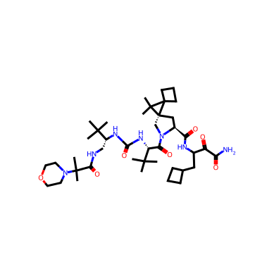 CC(C)(C)[C@H](NC(=O)N[C@H](CNC(=O)C(C)(C)N1CCOCC1)C(C)(C)C)C(=O)N1C[C@]2(C[C@H]1C(=O)NC(CC1CCC1)C(=O)C(N)=O)C(C)(C)C21CCC1